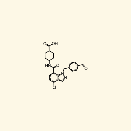 O=Cc1ccc(Cn2ncc3c(Cl)ccc(C(=O)NC4CCC(C(=O)O)CC4)c32)cc1